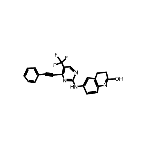 OC1=Nc2ccc(Nc3ncc(C(F)(F)F)c(C#Cc4ccccc4)n3)cc2CC1